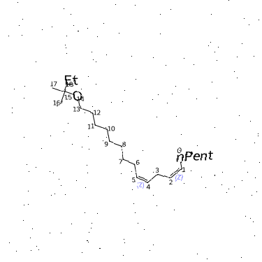 CCCCC/C=C\C/C=C\CCCCCCCCOC(C)(C)CC